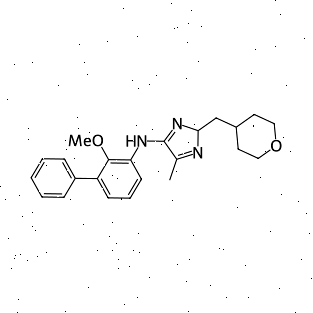 COc1c(NC2=NC(CC3CCOCC3)N=C2C)cccc1-c1ccccc1